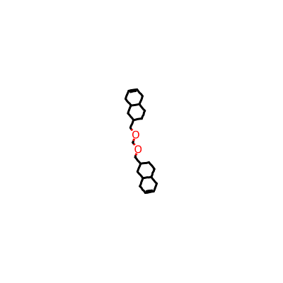 C1=CCC2CC(COCOCC3CCC4CC=CCC4C3)CCC2C1